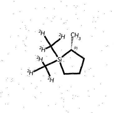 [2H]C([2H])([2H])[Si]1(C([2H])([2H])[2H])CCC[C@H]1C